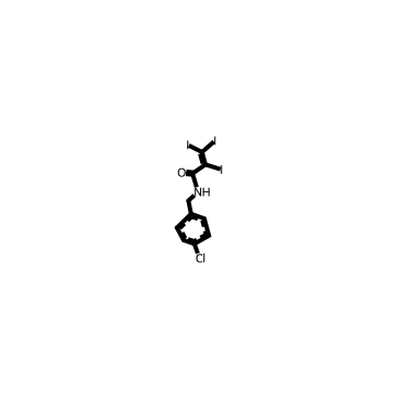 O=C(NCc1ccc(Cl)cc1)C(I)=C(I)I